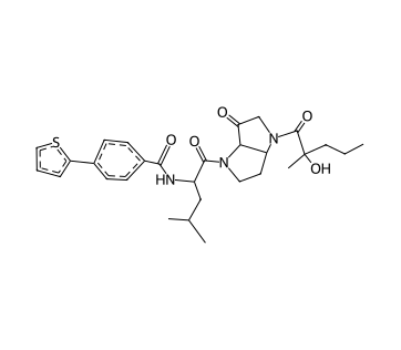 CCCC(C)(O)C(=O)N1CC(=O)C2C1CCN2C(=O)C(CC(C)C)NC(=O)c1ccc(-c2cccs2)cc1